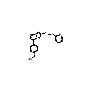 OCc1ccc(-c2cnc3sc(NCCc4ccccn4)nn23)cc1